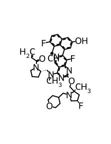 C#Cc1c(F)ccc2cc(O)cc(-c3ncc4c(N(C)C[C@@H]5CCCN5C(=O)C=C)nc(OC[C@]5(C)C[C@@H](F)CN5CC5CCOCC5)nc4c3F)c12